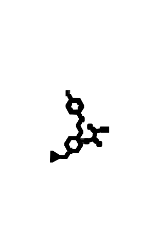 Fc1ccc(OCCC2CCN(CC3CC3)CC2)cc1.O=C(O)C(=O)O